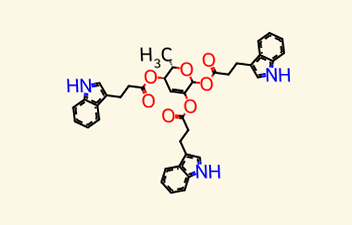 C[C@@H]1OC(OC(=O)CCc2c[nH]c3ccccc23)C(OC(=O)CCc2c[nH]c3ccccc23)=C[C@H]1OC(=O)CCc1c[nH]c2ccccc12